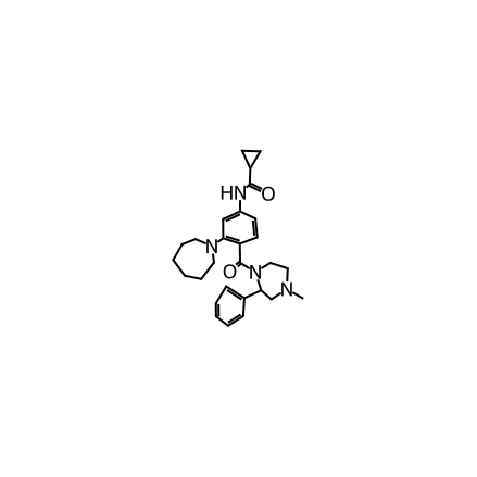 CN1CCN(C(=O)c2ccc(NC(=O)C3CC3)cc2N2CCCCCC2)C(c2ccccc2)C1